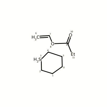 C1CC[SiH2]CC1.C=COC(=O)CC